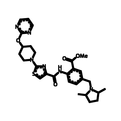 COC(=O)c1cc(CN2C(C)CCC2C)ccc1NC(=O)c1csc(N2CCC(Oc3ncccn3)CC2)n1